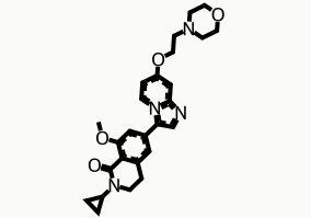 COc1cc(-c2cnc3cc(OCCN4CCOCC4)ccn23)cc2c1C(=O)N(C1CC1)CC2